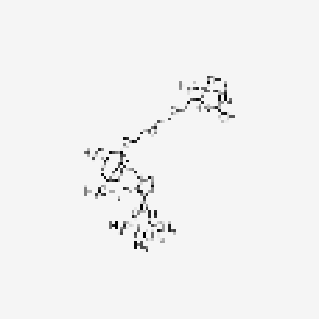 Cc1c(B2OC(C)(C)C(C)(C)O2)cnn1CC12CC3(C)CC(C)(C1)CC(OCCOCCOCCC(NC(=O)O)C(C)(C)C)(C3)C2